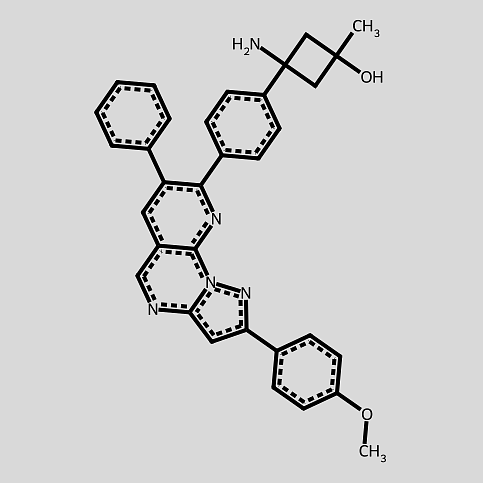 COc1ccc(-c2cc3ncc4cc(-c5ccccc5)c(-c5ccc(C6(N)CC(C)(O)C6)cc5)nc4n3n2)cc1